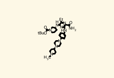 CCc1nc(C(N)=O)c(Nc2ccc(N3CCN(C4CCN(C)CC4)CC3)cc2)nc1N[C@@H]1CCCN(C(=O)OC(C)(C)C)C1